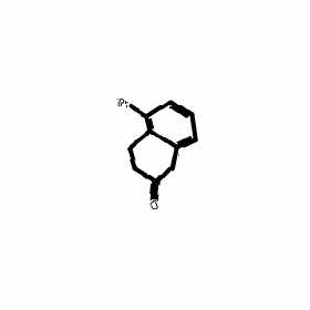 CC(C)c1cccc2c1CCC(=O)C2